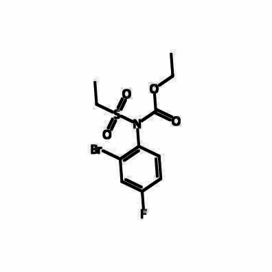 CCOC(=O)N(c1ccc(F)cc1Br)S(=O)(=O)CC